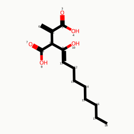 C=C(C(=O)O)C(C(=O)O)C(O)=CCCCCCCC